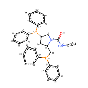 CC(C)(C)NC(=O)N1CC(P(c2ccccc2)c2ccccc2)CC1CP(c1ccccc1)c1ccccc1